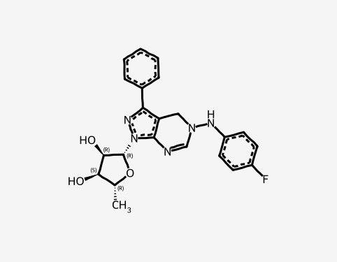 C[C@H]1O[C@@H](n2nc(-c3ccccc3)c3c2N=CN(Nc2ccc(F)cc2)C3)[C@H](O)[C@@H]1O